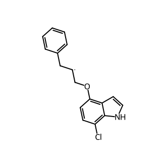 Clc1ccc(OC[CH]Cc2ccccc2)c2cc[nH]c12